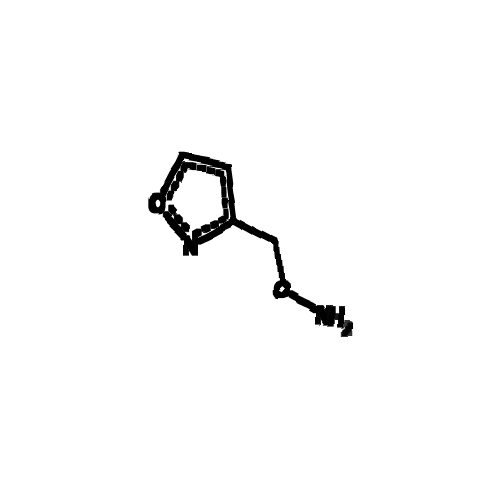 NOCc1ccon1